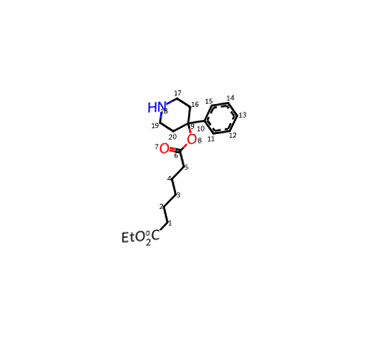 CCOC(=O)CCCCCC(=O)OC1(c2ccccc2)CCNCC1